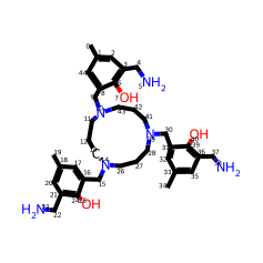 Cc1cc(CN)c(O)c(CN2CCCN(Cc3cc(C)cc(CN)c3O)CCCN(Cc3cc(C)cc(CN)c3O)CCC2)c1